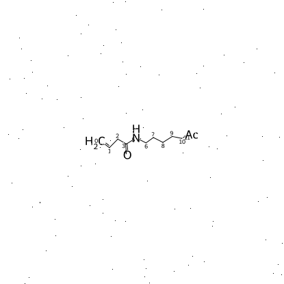 C=CCC(=O)NCCCCCC(C)=O